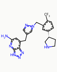 Nc1cc(Cc2cnn(Cc3cc([C@@H]4CCNC4)ccc3C(F)(F)F)c2)c2nn[nH]c2n1